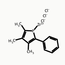 Cc1c(C)c(-c2ccccc2)[p]([Zr+3])c1C.[Cl-].[Cl-].[Cl-]